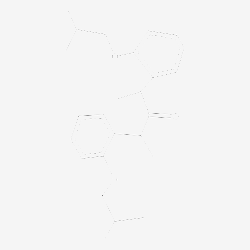 CC(C)COc1ccccc1C(C)C(=O)C(C)c1ccccc1OCC(C)C